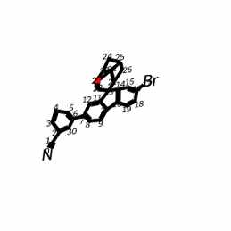 N#Cc1cccc(-c2ccc3c(c2)C2(c4cc(Br)ccc4-3)C3CC4CC(C3)CC2C4)c1